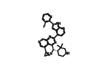 CC1(C)CNCC[C@@H]1C(N)c1nc(-c2ccnc3[nH]c(-c4ncccc4F)cc23)nc2cncc(C3CC3)c12